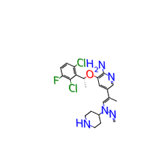 C=NN(/C=C(\C)c1cnc(N)c(O[C@H](C)c2c(Cl)ccc(F)c2Cl)c1)C1CCNCC1